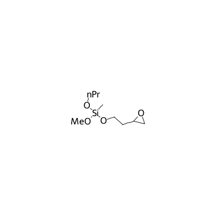 CCCO[Si](C)(OC)OCCC1CO1